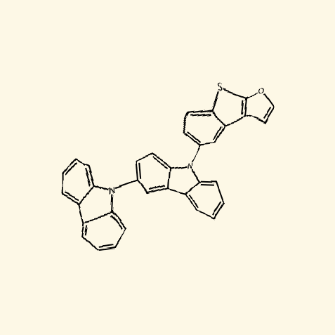 c1ccc2c(c1)c1ccccc1n2-c1ccc2c(c1)c1ccccc1n2-c1ccc2sc3occc3c2c1